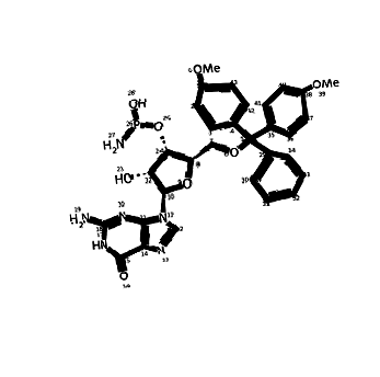 COc1ccc(C(OC[C@H]2O[C@@H](n3cnc4c(=O)[nH]c(N)nc43)[C@H](O)[C@@H]2OP(N)O)(c2ccccc2)c2ccc(OC)cc2)cc1